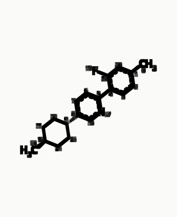 Cc1ccc(-c2ccc([C@H]3CC[C@H](C)CC3)cn2)c(F)c1